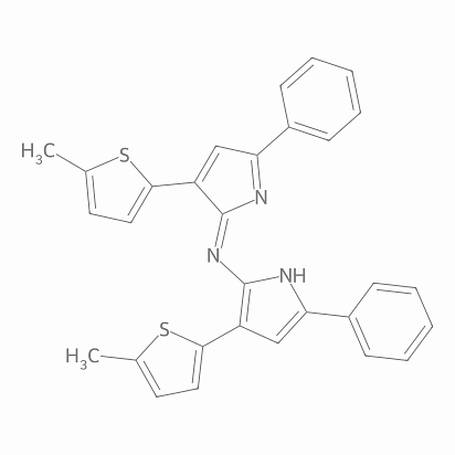 Cc1ccc(C2=CC(c3ccccc3)=N/C2=N\c2[nH]c(-c3ccccc3)cc2-c2ccc(C)s2)s1